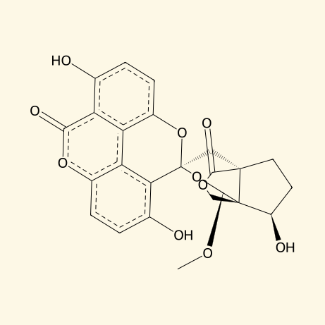 CO[C@@H]1O[C@]2(C[C@]34CC[C@@H](O)[C@]13COC4=O)Oc1ccc(O)c3c(=O)oc4ccc(O)c2c4c13